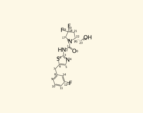 O=C(Nc1ncc(Cc2cccc(F)c2)s1)N1CC(F)(F)C[C@@H]1CO